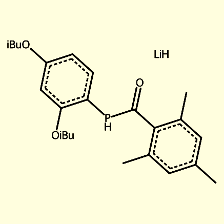 Cc1cc(C)c(C(=O)Pc2ccc(OCC(C)C)cc2OCC(C)C)c(C)c1.[LiH]